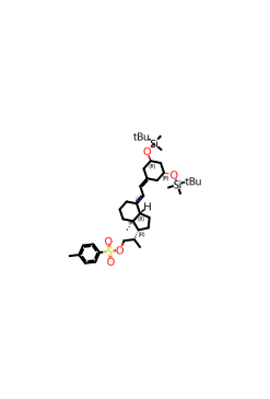 Cc1ccc(S(=O)(=O)OCC(C)[C@H]2CC[C@H]3/C(=C/C=C4C[C@@H](O[Si](C)(C)C(C)(C)C)C[C@H](O[Si](C)(C)C(C)(C)C)C4)CCC[C@]23C)cc1